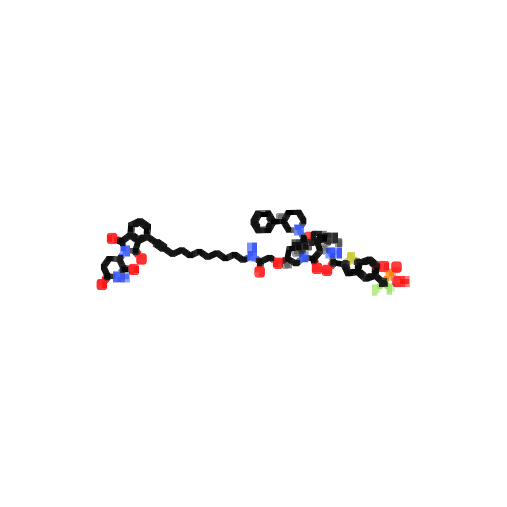 CC(C)(C)[C@H](NC(=O)c1cc2cc(C(F)(F)P(=O)(O)O)ccc2s1)C(=O)N1C[C@@H](OCC(=O)NCCCCCCCCCC#Cc2cccc3c2C(=O)N(C2CCC(=O)NC2=O)C3=O)C[C@H]1C(=O)N1CCC[C@H](c2ccccc2)C1